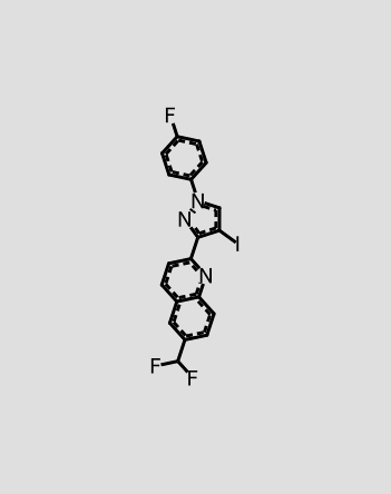 Fc1ccc(-n2cc(I)c(-c3ccc4cc(C(F)F)ccc4n3)n2)cc1